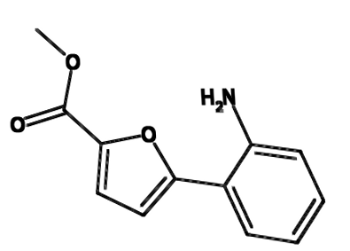 COC(=O)c1ccc(-c2ccccc2N)o1